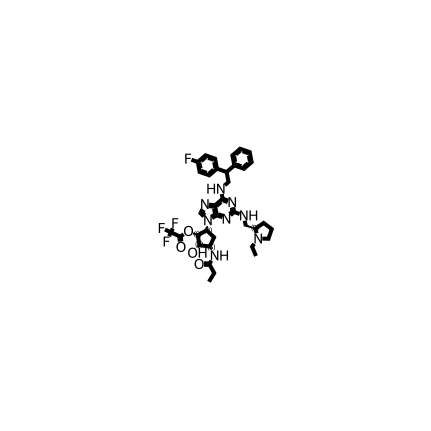 CCC(=O)N[C@H]1C[C@@H](n2cnc3c(NCC(c4ccccc4)c4ccc(F)cc4)nc(NC[C@H]4CCCN4CC)nc32)[C@H](OC(=O)C(F)(F)F)[C@@H]1O